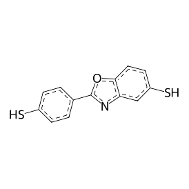 Sc1ccc(-c2nc3cc(S)ccc3o2)cc1